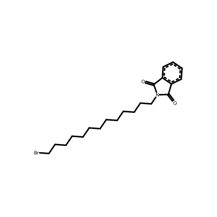 O=C1c2ccccc2C(=O)N1CCCCCCCCCCCCCBr